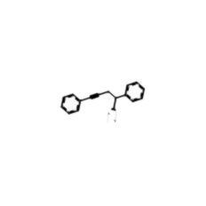 N#CC(CC#Cc1ccccc1)c1ccccc1